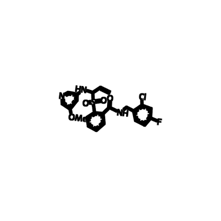 C=CC(Nc1cncc(OC)c1)S(=O)(=O)c1ccccc1C(=O)NCc1ccc(F)cc1Cl